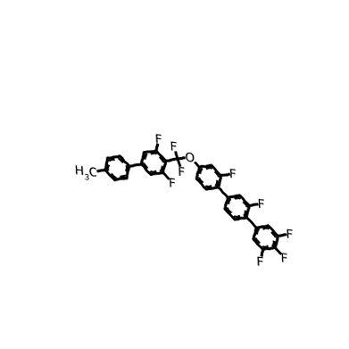 Cc1ccc(-c2cc(F)c(C(F)(F)Oc3ccc(-c4ccc(-c5cc(F)c(F)c(F)c5)c(F)c4)c(F)c3)c(F)c2)cc1